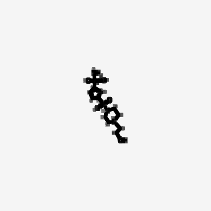 NS(=O)(=O)c1ccc(S(=O)(=O)N2CCN(CCO)CC2)s1